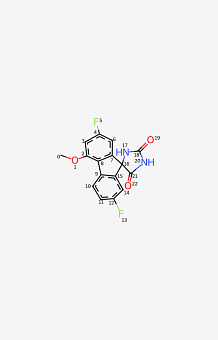 COc1cc(F)cc2c1-c1ccc(F)cc1C21NC(=O)NC1=O